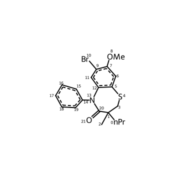 CCCC1(C)CSc2cc(OC)c(Br)cc2N(c2ccccc2)C1=O